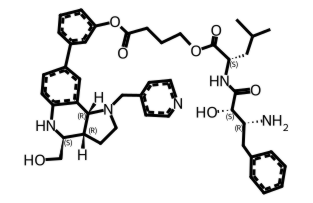 CC(C)C[C@H](NC(=O)[C@@H](O)[C@H](N)Cc1ccccc1)C(=O)OCCCC(=O)Oc1cccc(-c2ccc3c(c2)[C@H]2[C@H](CCN2Cc2ccncc2)[C@@H](CO)N3)c1